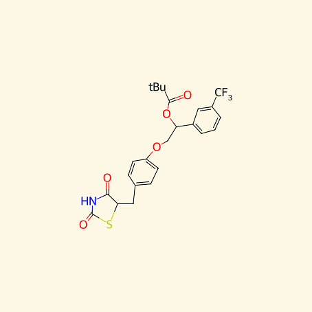 CC(C)(C)C(=O)OC(COc1ccc(CC2SC(=O)NC2=O)cc1)c1cccc(C(F)(F)F)c1